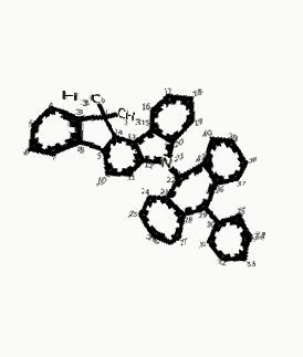 CC1(C)c2ccccc2-c2ccc3c(c21)c1ccccc1n3-c1c2ccccc2c(-c2ccccc2)c2ccccc12